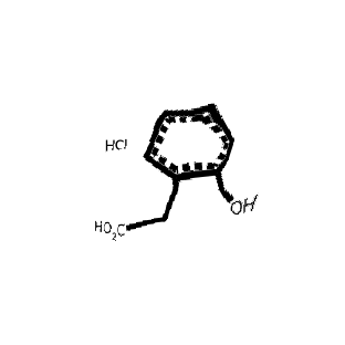 Cl.O=C(O)Cc1ccccc1O